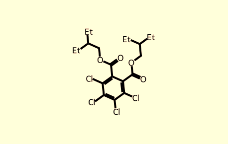 CCC(CC)COC(=O)c1c(Cl)c(Cl)c(Cl)c(Cl)c1C(=O)OCC(CC)CC